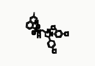 Cc1cnc2c(S(=O)(=O)NCC3=NN(c4ccc(Cl)cc4Cl)C(C4C=CC(Cl)=CC4)C3)cccc2c1